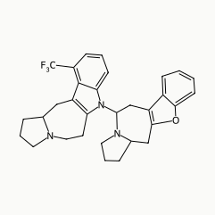 FC(F)(F)c1cccc2c1c1c(n2C2Cc3c(oc4ccccc34)CC3CCCN32)CCN2CCCC2C1